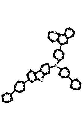 c1ccc(-c2ccc(-c3ccc4c(c3)oc3cc(N(c5ccc(-c6ccccc6)cc5)c5ccc(-c6cc7ccccc7c7ccccc67)cc5)ccc34)cc2)cc1